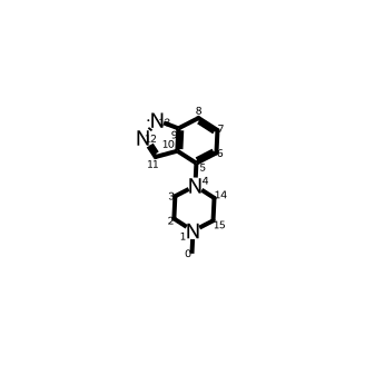 CN1CCN(c2cccc3c2C=N[N]3)CC1